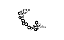 COC(=O)NC(C(=O)N1CCC[C@H]1c1nc2ccc(-c3ccc4c(c3)CCc3cc(-c5cnc([C@@H]6CCCN6C(=O)C(NC(=O)O)C(C)C)[nH]5)ccc3-4)cc2[nH]1)c1ccccc1